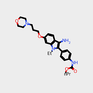 CCCOC(=O)Nc1ccc(-c2c(N)c3ccc(OCCCN4CCOCC4)cc3n2CC)cc1